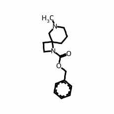 CN1CCCC2(CCN2C(=O)OCc2ccccc2)C1